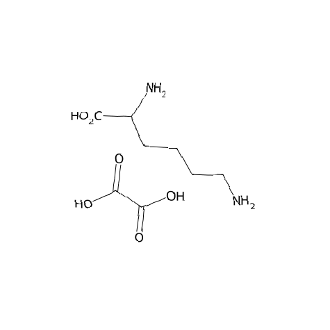 NCCCCC(N)C(=O)O.O=C(O)C(=O)O